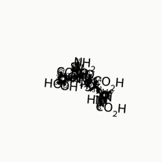 CC1=NC2=CN(C(=O)O)NN2C(SCC2=C(C(=O)O)N3C(=O)[C@@H](NC(=O)C(=NOCc4cc(C(=O)O)cc(O)c4O)c4csc(N)n4)[C@H]3SC2)=C1